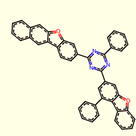 c1ccc(-c2nc(-c3ccc4c(c3)oc3cc5ccccc5cc34)nc(-c3cc(-c4ccccc4)c4c(c3)oc3ccccc34)n2)cc1